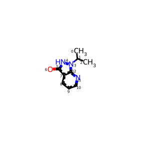 CC(C)n1[nH]c(=O)c2cccnc21